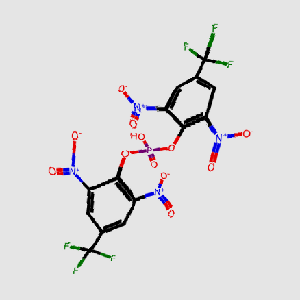 O=[N+]([O-])c1cc(C(F)(F)F)cc([N+](=O)[O-])c1OP(=O)(O)Oc1c([N+](=O)[O-])cc(C(F)(F)F)cc1[N+](=O)[O-]